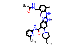 Cc1ccc(CNC(=O)C(C)(C)C)c(I)c1Nc1nc2cc(C(=O)Nc3cccc(C(F)(F)F)n3)c(N3CCC(C(F)(F)F)CC3)cc2n1C